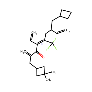 C=C/C(C(=O)C(=C)CC1CC(C)(C)C1)=C(\CC(C=C)CC1CCC1)C(F)(F)F